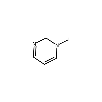 IN1C=CC=NC1